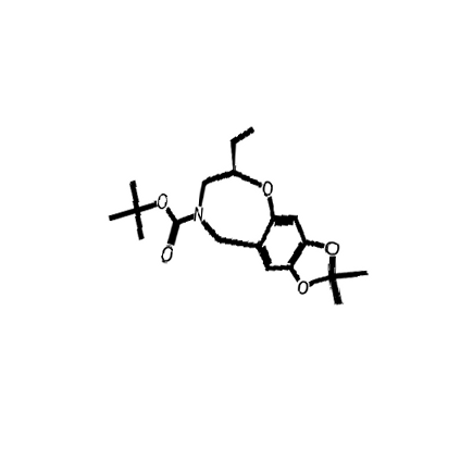 CC[C@@H]1CN(C(=O)OC(C)(C)C)Cc2cc3c(cc2O1)OC(C)(C)O3